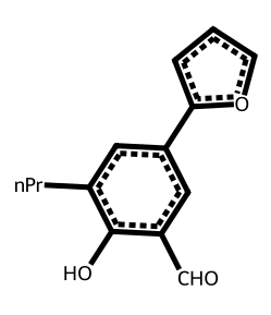 CCCc1cc(-c2ccco2)cc(C=O)c1O